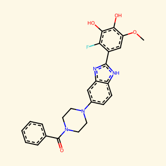 COc1cc(-c2nc3cc(N4CCN(C(=O)c5ccccc5)CC4)ccc3[nH]2)c(F)c(O)c1O